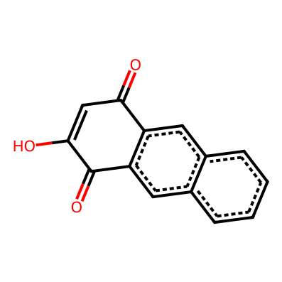 O=C1C=C(O)C(=O)c2cc3ccccc3cc21